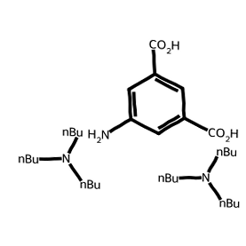 CCCCN(CCCC)CCCC.CCCCN(CCCC)CCCC.Nc1cc(C(=O)O)cc(C(=O)O)c1